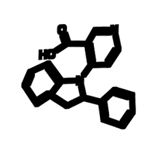 O=C(O)c1cnccc1N1c2ccccc2CC1c1ccccc1